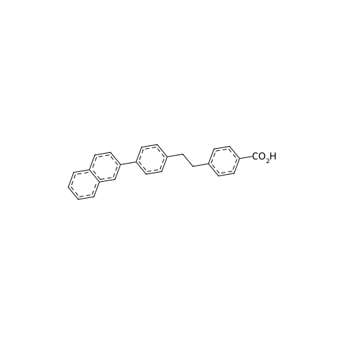 O=C(O)c1ccc(CCc2ccc(-c3ccc4ccccc4c3)cc2)cc1